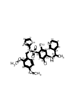 COc1ccc(CN(c2nccs2)S(=O)(=O)c2cc(Cl)c(NC(C)c3cccnc3)cc2F)c(OC)c1